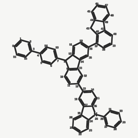 c1ccc(-c2ccc(C3c4ccc(-c5ccc6c(c5)c5ccccc5n6-c5ccccc5)cc4-c4cc(-c5cccc6c5Cc5ccccc5-6)ccc43)cc2)cc1